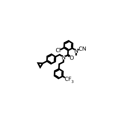 CN(C#N)c1cccc(Cl)c1C(=O)N(CCc1cccc(C(F)(F)F)c1)Cc1ccc(C2CC2)cc1